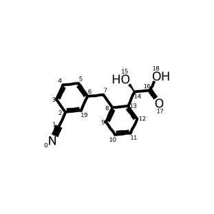 N#Cc1cccc(Cc2ccccc2[C@@H](O)C(=O)O)c1